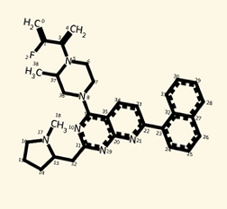 C=C(F)C(=C)N1CCN(c2nc(CC3CCCN3C)nc3nc(-c4cccc5ccccc45)ccc23)CC1C